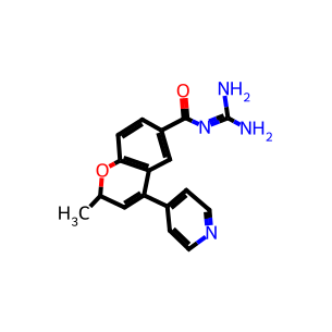 CC1C=C(c2ccncc2)c2cc(C(=O)N=C(N)N)ccc2O1